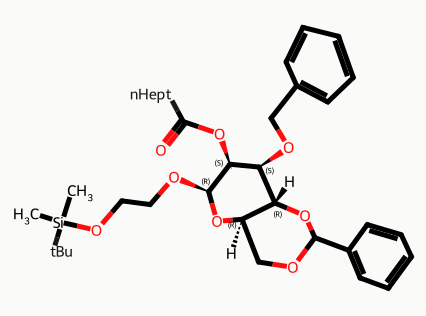 CCCCCCCC(=O)O[C@@H]1[C@H](OCCO[Si](C)(C)C(C)(C)C)O[C@@H]2COC(c3ccccc3)O[C@H]2[C@@H]1OCc1ccccc1